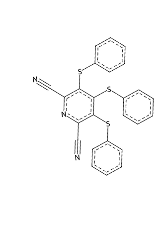 N#Cc1nc(C#N)c(Sc2ccccc2)c(Sc2ccccc2)c1Sc1ccccc1